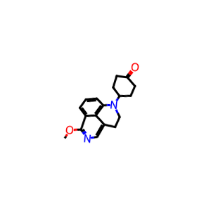 COc1ncc2c3c(cccc13)N(C1CCC(=O)CC1)CC2